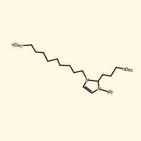 CCCCCCCCCCCCCCCCCCCN1C=CN(C(C)C)C1CCCCCCCCCCCCC